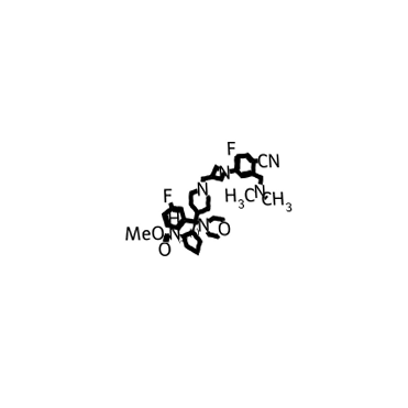 COC(=O)N[C@H]1CCC[C@@H]1C(c1cccc(F)c1)(C1CCN(CC2CN(c3cc(CN(C)C)c(C#N)cc3F)C2)CC1)N1CCOCC1